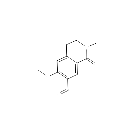 COc1cc2c(cc1C=O)C(=O)N(C)CC2